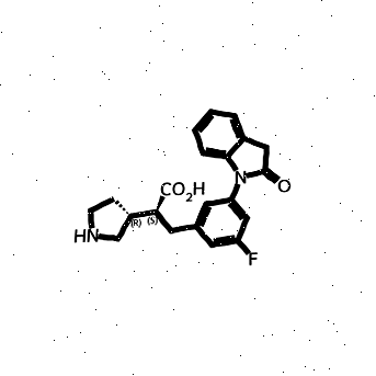 O=C(O)[C@@H](Cc1cc(F)cc(N2C(=O)Cc3ccccc32)c1)[C@H]1CCNC1